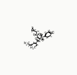 C=C/C(=C\C=C/C)c1nc(S(=O)(=O)c2ccc(Cl)cc2)c(S(=O)(=O)CC2CC2)o1